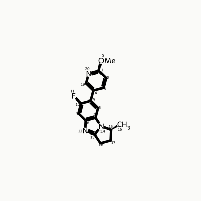 COc1ccc(-c2cc3c(cc2F)nc2n3[C@@H](C)CC2)cn1